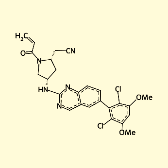 C=CC(=O)N1C[C@@H](Nc2ncc3cc(-c4c(Cl)c(OC)cc(OC)c4Cl)ccc3n2)C[C@H]1CC#N